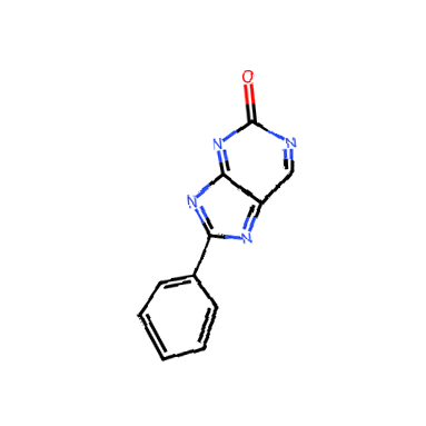 O=C1N=CC2=NC(c3ccccc3)=NC2=N1